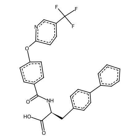 O=C(N[C@@H](Cc1ccc(-c2ccccc2)cc1)C(=O)O)c1ccc(Oc2ccc(C(F)(F)F)cn2)cc1